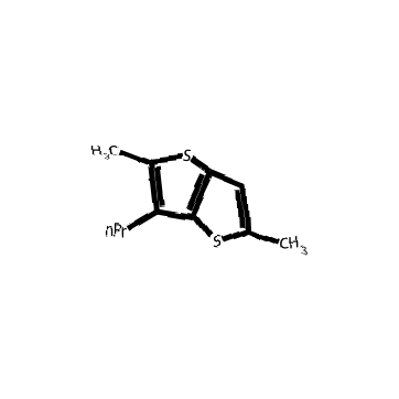 CCCc1c(C)sc2cc(C)sc12